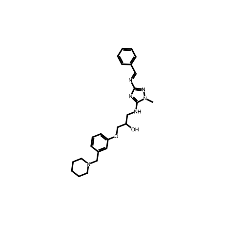 Cn1nc(/N=C/c2ccccc2)nc1NCC(O)COc1cccc(CN2CCCCC2)c1